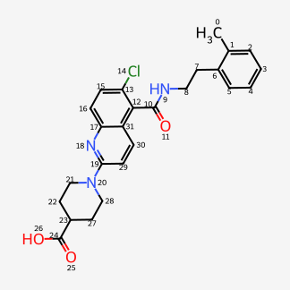 Cc1ccccc1CCNC(=O)c1c(Cl)ccc2nc(N3CCC(C(=O)O)CC3)ccc12